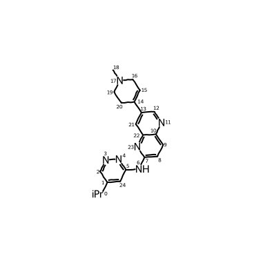 CC(C)c1cnnc(Nc2ccc3ncc(C4=CCN(C)CC4)cc3n2)c1